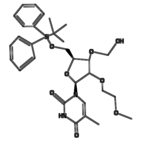 COCCOC1C(OCO)[C@H](CO[Si](c2ccccc2)(c2ccccc2)C(C)(C)C)O[C@@H]1n1cc(C)c(=O)[nH]c1=O